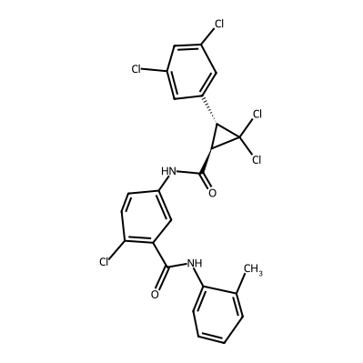 Cc1ccccc1NC(=O)c1cc(NC(=O)[C@H]2[C@H](c3cc(Cl)cc(Cl)c3)C2(Cl)Cl)ccc1Cl